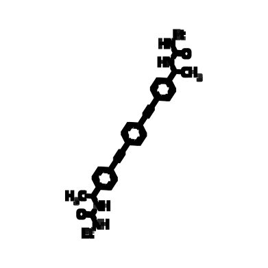 CCNC(=O)NC(C)c1ccc(C#Cc2ccc(C#Cc3ccc(C(C)NC(=O)NCC)cc3)cc2)cc1